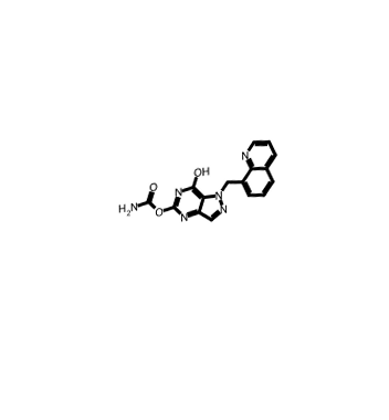 NC(=O)Oc1nc(O)c2c(cnn2Cc2cccc3cccnc23)n1